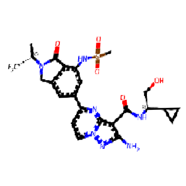 C[C@H](N1Cc2cc(-c3ccn4nc(N)c(C(=O)N[C@@H](CO)C5CC5)c4n3)cc(NS(C)(=O)=O)c2C1=O)C(F)(F)F